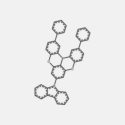 c1ccc(-c2ccc3c(c2)B2c4cc(-c5ccccc5)ccc4Oc4cc(-n5c6ccccc6c6ccccc65)cc(c42)O3)cc1